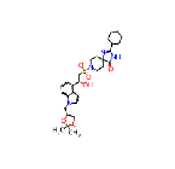 CC1(C)OC[C@H](Cn2ccc3c(C(O)CS(=O)(=O)N4CCC5(CC4)N=C(C4CCCCC4)NC5=O)cccc32)O1